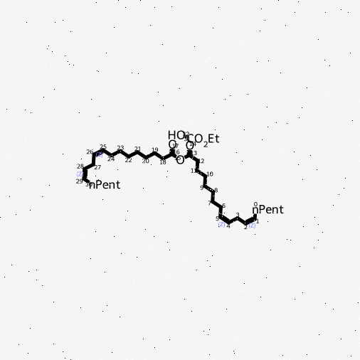 CCCCC/C=C\C/C=C\CCCCCCCC(=O)OC(=O)CCCCCCC/C=C\C/C=C\CCCCC.CCOC(=O)O